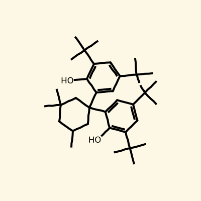 CC1CC(C)(C)CC(c2cc(C(C)(C)C)cc(C(C)(C)C)c2O)(c2cc(C(C)(C)C)cc(C(C)(C)C)c2O)C1